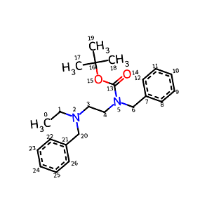 CCN(CCN(Cc1ccccc1)C(=O)OC(C)(C)C)Cc1ccccc1